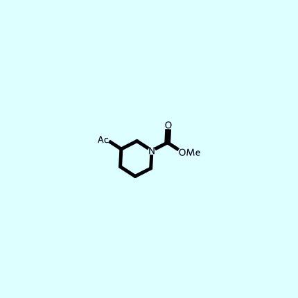 COC(=O)N1CCCC(C(C)=O)C1